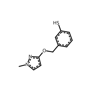 Cn1ccc(OCc2cccc(S)c2)n1